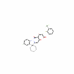 O=c1oc2cc3n(c(=O)c2c(O)c1Sc1ccccc1C(F)(F)F)-c1ccc(F)cc1C31CCCCC1